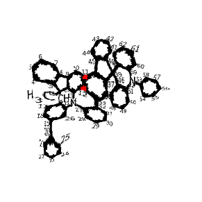 CC1(C)c2ccccc2-c2cccc(N(c3cccc(-c4ccccc4)c3)c3ccccc3-c3ccc4c(c3)C3(c5ccccc5-4)c4ccccc4N(c4ccccc4)c4ccccc43)c21